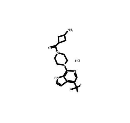 Cl.NC1CC(C(=O)N2CCN(c3ncc(C(F)(F)F)c4cc[nH]c34)CC2)C1